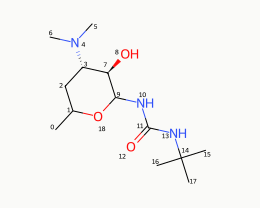 CC1C[C@H](N(C)C)[C@@H](O)C(NC(=O)NC(C)(C)C)O1